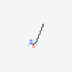 C=CCCCCCCCCC(F)(F)C(=O)NF